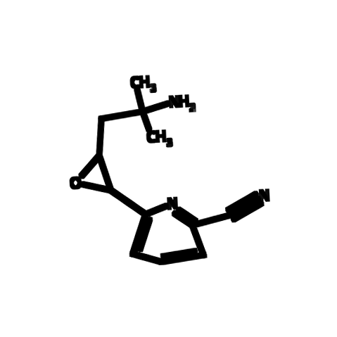 CC(C)(N)CC1OC1c1cccc(C#N)n1